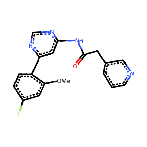 COc1cc(F)ccc1-c1cc(NC(=O)Cc2cccnc2)ncn1